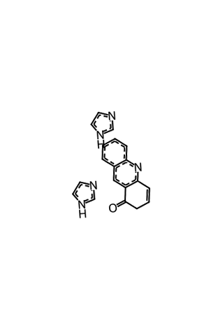 O=C1CC=Cc2nc3ccccc3cc21.c1c[nH]cn1.c1c[nH]cn1